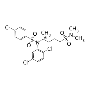 C[C@H](CCCS(=O)(=O)N(C)C)N(c1cc(Cl)ccc1Cl)S(=O)(=O)c1ccc(Cl)cc1